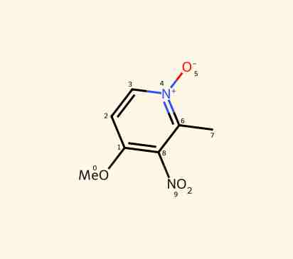 COc1cc[n+]([O-])c(C)c1[N+](=O)[O-]